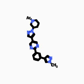 CC(=O)N1CCCC(n2cc(-c3cnc(-c4cccc(-c5cnn(C)c5)c4)nc3)cn2)C1